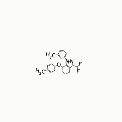 Cc1ccc(OC2CCCc3c(C(F)F)nn(-c4cccc(C)c4)c32)cc1